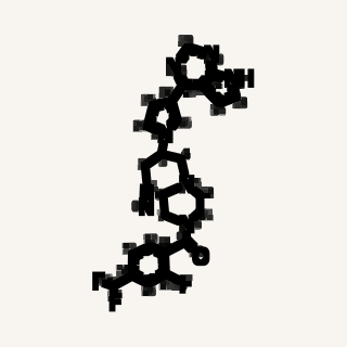 N#CCC(CN1CCN(C(=O)c2ccc(C(F)F)cc2F)CC1)n1ccc(-c2ncnc3[nH]ccc23)c1